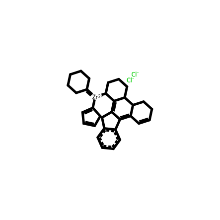 C1=CC[C]([Zr+2](=[C]2CCCCC2)[CH]2CCCC3C2=C2Cc4ccccc4C2=C2C=CCCC23)=C1.[Cl-].[Cl-]